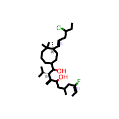 C=C(C(O)CC(C)C/C(F)=C\C)[C@H](C(C)C)C(O)C1CCCC(C)(C)[C@@](C)(/C=C/CC(Cl)CC)CC1